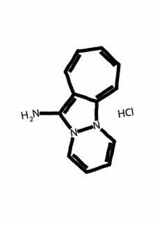 Cl.NC1=C2C=CC=CC=C2N2C=CC=CN12